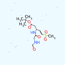 CC(C)(C)OC(=O)CC(/C=C/S(C)(=O)=O)NC(=O)CNC=O